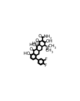 CN(C)C1C(O)=C(C(N)=O)C(=O)C2(O)C(O)=C3C(=O)c4c(O)ccc(-c5ccc(F)c(F)c5)c4CC3CC12